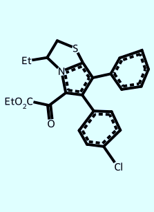 CCOC(=O)C(=O)c1c(-c2ccc(Cl)cc2)c(-c2ccccc2)c2n1C(CC)CS2